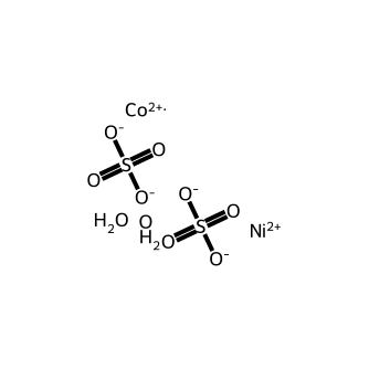 O.O.O=S(=O)([O-])[O-].O=S(=O)([O-])[O-].[Co+2].[Ni+2]